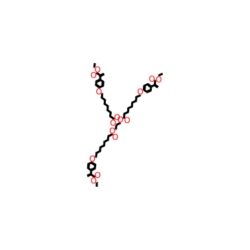 C=C(C(=O)OCC)c1ccc(OCCCCCCCCC(=O)OCC(COC(=O)CCCCCCCCOc2ccc(C(=C)C(=O)OCC)cc2)OC(=O)CCCCCCCCOc2ccc(C(=C)C(=O)OCC)cc2)cc1